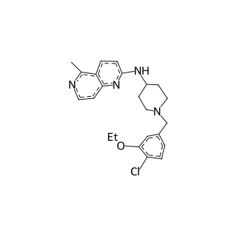 CCOc1cc(CN2CCC(Nc3ccc4c(C)nccc4n3)CC2)ccc1Cl